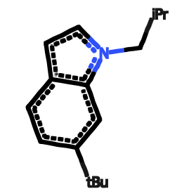 CC(C)Cn1ccc2ccc(C(C)(C)C)cc21